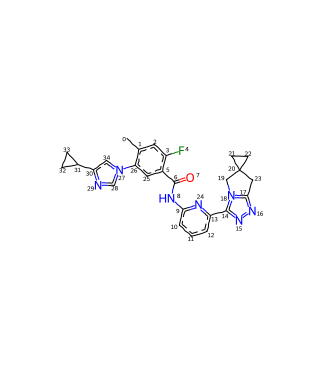 Cc1cc(F)c(C(=O)Nc2cccc(-c3nnc4n3CC3(CC3)C4)n2)cc1-n1cnc(C2CC2)c1